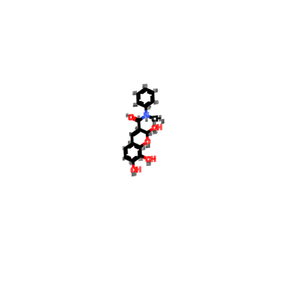 CN(C(=O)C1=Cc2ccc(O)c(O)c2OC1O)c1ccccc1